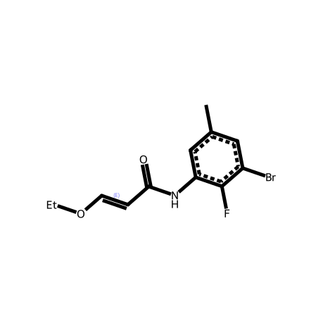 CCO/C=C/C(=O)Nc1cc(C)cc(Br)c1F